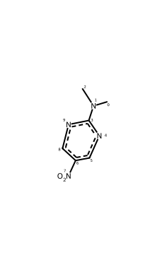 CN(C)c1ncc([N+](=O)[O-])cn1